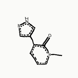 Cn1cccc(-c2cn[nH]c2)c1=O